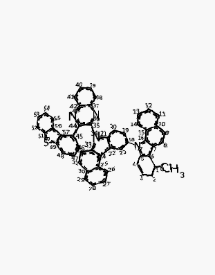 CC1CC=Cc2c1c1ccc3ccccc3c1n2-c1ccc2c(c1)c1c3ccccc3ccc1n2-c1nc2ccccc2nc1-c1cccc2sc3ccccc3c12